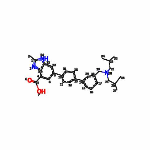 Cc1nc2c(C(=O)O)cc(-c3ccc(-c4cccc(CN(CC(C)C)CC(C)C)c4)cc3)cc2[nH]1